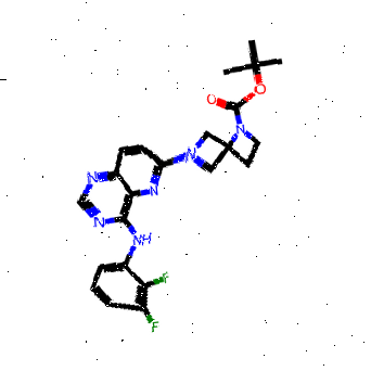 CC(C)(C)OC(=O)N1CCC12CN(c1ccc3ncnc(Nc4cccc(F)c4F)c3n1)C2